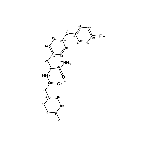 CC1CCN(CC(=O)NC(Cc2ccc(Oc3ccc(F)cc3)cc2)C(N)=O)CC1